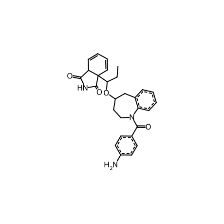 CCC(OC1CCN(C(=O)c2ccc(N)cc2)c2ccccc2C1)C12C=CC=CC1C(=O)NC2=O